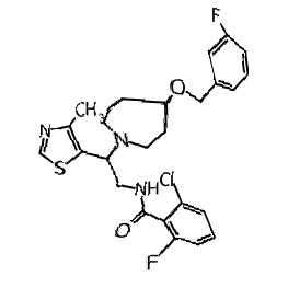 Cc1ncsc1C(CNC(=O)c1c(F)cccc1Cl)N1CCC(OCc2cccc(F)c2)CC1